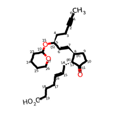 CC#CCC[C@@H](C=C[C@H]1CCC(=O)[C@@H]1CC=CCCCC(=O)O)OC1CCCCO1